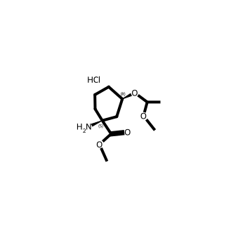 COC(=O)[C@]1(N)CCC[C@@H](OC(C)OC)C1.Cl